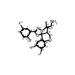 CC(=O)N1N=C(c2cc(F)ccc2F)OC12c1cc(F)c(F)cc1OCC2CCN